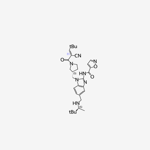 C[C@H](NCc1ccc2c(c1)nc(NC(=O)c1ccno1)n2C[C@H]1CCN(C(=O)/C(C#N)=C/C(C)(C)C)C1)C(C)(C)C